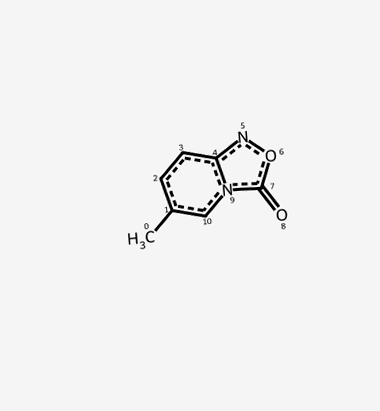 Cc1ccc2noc(=O)n2c1